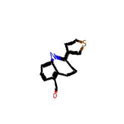 O=Cc1cccc2nc(-c3ccsc3)ccc12